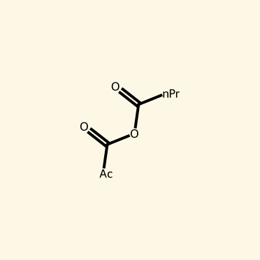 CCCC(=O)OC(=O)C(C)=O